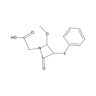 COC1C(Sc2ccccc2)C(=O)N1CC(=O)O